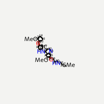 COc1cc2c(Nc3ccc(Oc4ccccc4OC)cc3)c(C#N)cnc2cc1OCCCNCCSC